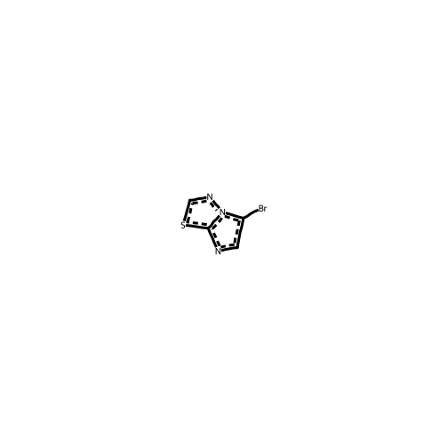 Brc1cnc2scnn12